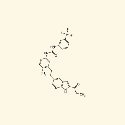 COC(=O)c1cc2cc(CCc3cc(NC(=O)Nc4cccc(C(F)(F)F)c4)ccc3C)cnc2[nH]1